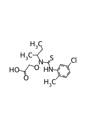 CCC(C)N(OCC(=O)O)C(=S)Nc1cc(Cl)ccc1C